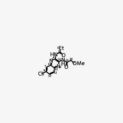 CCC(=O)Nc1nc2cc(Cl)ccc2nc1NC(=O)COC